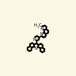 Cc1ccc2ccc3ccc(-c4ccnc(-c5c6ccc7ccccc7c6nc6c5ccc5ccccc56)c4)nc3c2n1